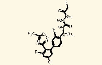 Cc1nc(-c2c(F)cc(Cl)cc2-c2ccc([C@@H](C)NC(=O)NNC(=O)CF)c(F)c2)no1